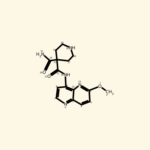 COc1ccc2nccc(NC(=O)C3(C(N)=O)CCNCC3)c2n1